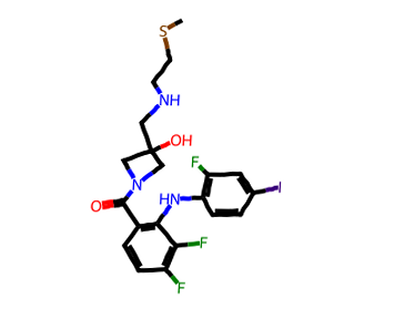 CSCCNCC1(O)CN(C(=O)c2ccc(F)c(F)c2Nc2ccc(I)cc2F)C1